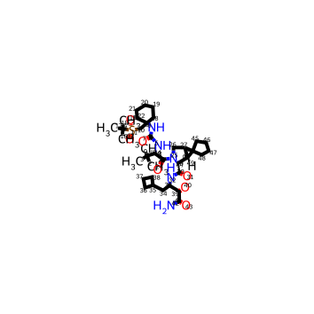 CC(C)(C)[C@H](NC(=O)NC1(CS(=O)(=O)C(C)(C)C)CCCCC1)C(=O)N1CC2[C@@H]([C@H]1C(=O)NC(CC1CCC1)C(=O)C(N)=O)C21CCCC1